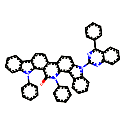 O=c1c2c(ccc3c4ccccc4n(-c4ccccc4)c32)c2ccc3c(c4ccccc4n3-c3nc(-c4ccccc4)c4ccccc4n3)c2n1-c1ccccc1